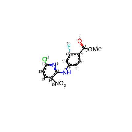 COC(=O)c1ccc(Nc2nc(Cl)ccc2[N+](=O)[O-])cc1F